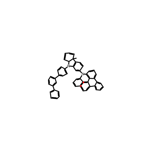 CC12C=CC=CC1N(c1ccc(-c3cccc(-c4ccccc4)c3)cc1)c1cc(N(c3ccccc3)c3cccc4c5ccccc5c5ccccc5c34)ccc12